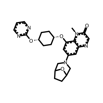 Cn1c(=O)cnc2cc(N3CC4CCC(C3)O4)cc(O[C@H]3CC[C@@H](Oc4ncccn4)CC3)c21